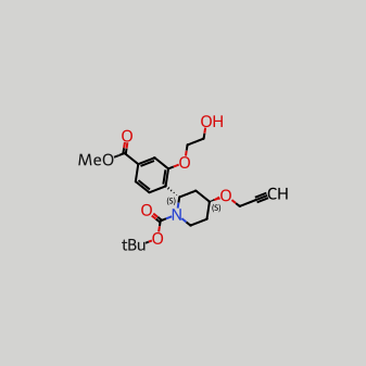 C#CCO[C@H]1CCN(C(=O)OC(C)(C)C)[C@H](c2ccc(C(=O)OC)cc2OCCO)C1